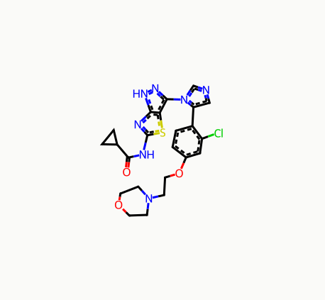 O=C(Nc1nc2[nH]nc(-n3cncc3-c3ccc(OCCN4CCOCC4)cc3Cl)c2s1)C1CC1